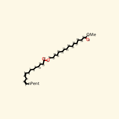 CCCCC/C=C\C/C=C\CCCCCCCC(=O)OCCCCCCCCCCCCCCCC(=O)OC